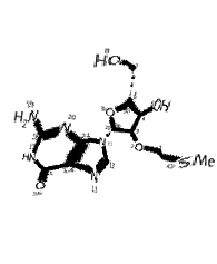 CSCOC1C(O)[C@@H](CO)O[C@H]1n1cnc2c(=O)[nH]c(N)nc21